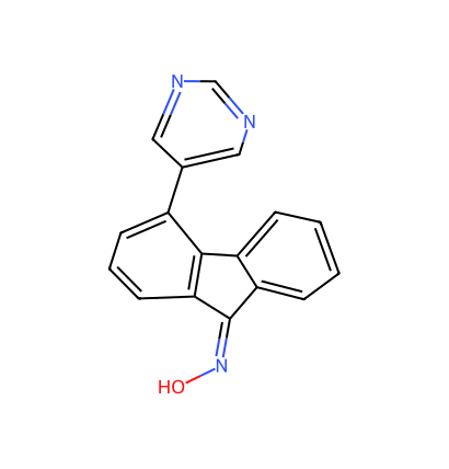 ON=C1c2ccccc2-c2c1cccc2-c1cncnc1